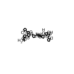 NS(=O)(=O)c1cccc(-c2c(O)cc(Oc3cccc(-c4ncn(S(=O)(=O)c5cccc(-c6c(O)cc(O)c7c(=O)cc(-c8ccccc8Cl)oc67)c5)n4)c3)c3c(=O)cc(-c4ccccc4Cl)oc23)c1